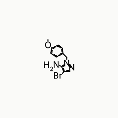 COc1ccc(Cn2ncc(Br)c2N)cc1